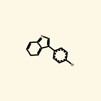 Brc1ccc(C2=CN=C3C=CCC=C23)cc1